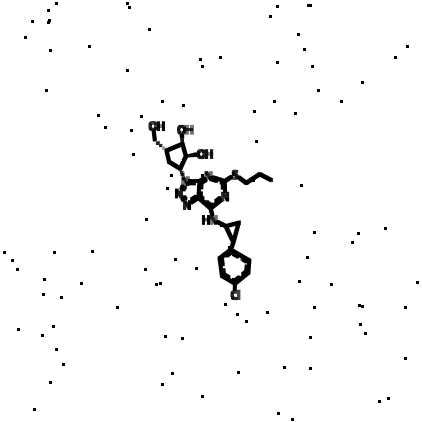 CCCSc1nc(NC2CC2c2ccc(Cl)cc2)c2nnn([C@@H]3C[C@H](CO)[C@@H](O)[C@H]3O)c2n1